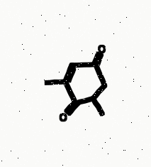 CC1=CC(=O)CC(C)C1=O